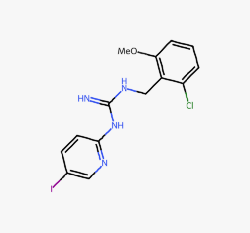 COc1cccc(Cl)c1CNC(=N)Nc1ccc(I)cn1